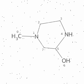 CN1CCNC(O)C1